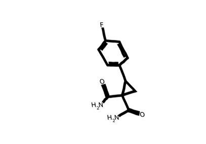 NC(=O)C1(C(N)=O)CC1c1ccc(F)cc1